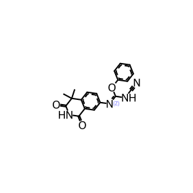 CC1(C)C(=O)NC(=O)c2cc(/N=C(/NC#N)Oc3ccccc3)ccc21